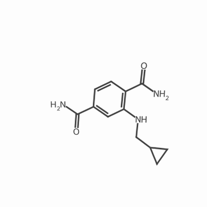 NC(=O)c1ccc(C(N)=O)c(NCC2CC2)c1